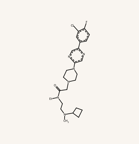 CCN(CCN(C)C1CCC1)C(=O)CN1CCN(c2cnc(-c3ccc(F)c(Cl)c3)cn2)CC1